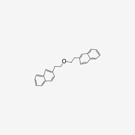 c1ccc2cc(CCOCCc3ccc4ccccc4c3)ccc2c1